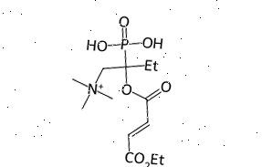 CCOC(=O)/C=C/C(=O)OC(CC)(C[N+](C)(C)C)P(=O)(O)O